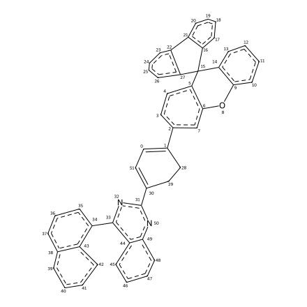 C1=C(c2ccc3c(c2)Oc2ccccc2C32c3ccccc3-c3ccccc32)CCC(c2nc(-c3cccc4ccccc34)c3ccccc3n2)=C1